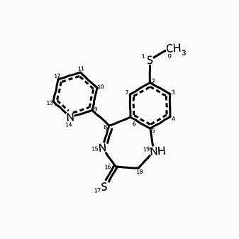 CSc1ccc2c(c1)C(c1ccccn1)=NC(=S)CN2